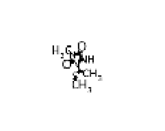 CSC(C)n1[nH]c(=O)n(C)c1=O